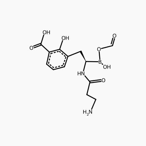 NCCC(=O)N[C@@H](Cc1cccc(C(=O)O)c1O)B(O)OC=O